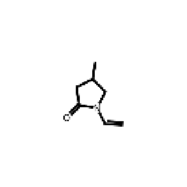 C=CN1CC(C)CC1=O